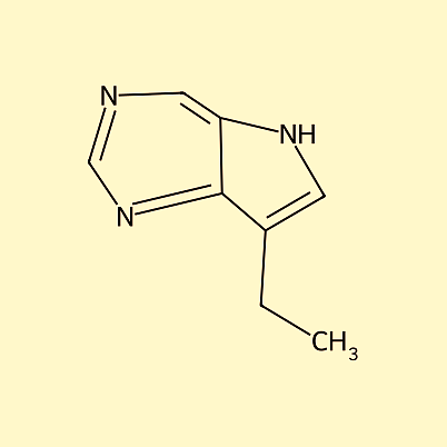 CCc1c[nH]c2cncnc12